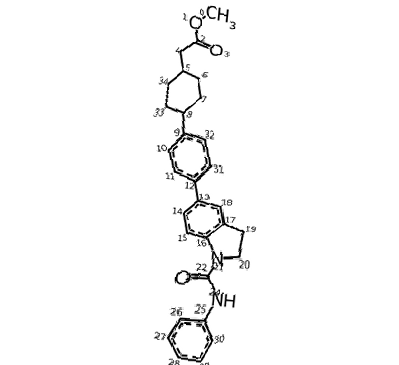 COC(=O)CC1CCC(c2ccc(-c3ccc4c(c3)CCN4C(=O)Nc3ccccc3)cc2)CC1